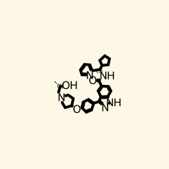 C[C@H](O)CN1CCC(Oc2ccc(-c3n[nH]c4ccc(C(=O)N[C@H](c5ccccn5)C5CCCC5)cc34)cc2)CC1